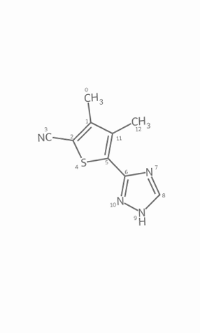 Cc1c(C#N)sc(-c2nc[nH]n2)c1C